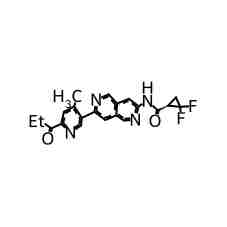 CCC(=O)c1cc(C)c(-c2cc3cnc(NC(=O)[C@H]4CC4(F)F)cc3cn2)cn1